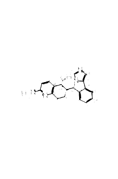 Nc1ccc2c(n1)CC[C@H]([C@@H]1c3ccccc3-c3cncn31)[C@H]2O